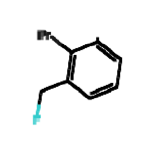 CC(C)c1[c]cccc1CF